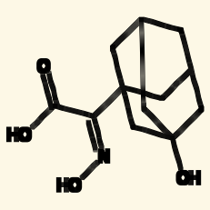 O=C(O)C(=NO)C12CC3CC(CC(O)(C3)C1)C2